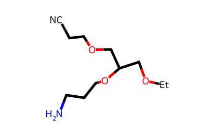 CCOCC(COCCC#N)OCCCN